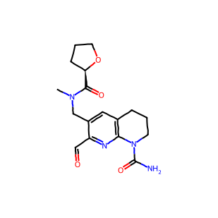 CN(Cc1cc2c(nc1C=O)N(C(N)=O)CCC2)C(=O)[C@H]1CCCO1